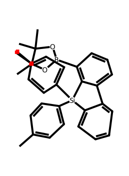 Cc1ccc([Si]2(c3ccc(C)cc3)c3ccccc3-c3cccc(B4OC(C)(C)C(C)(C)O4)c32)cc1